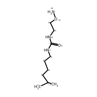 CC(C)CCCCNC(=O)NCCON